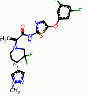 C=C(C(=O)Nc1ncc(Oc2cc(F)cc(F)c2)s1)N1CC[C@@H](c2cnn(C)c2)C(F)(F)C1